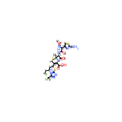 CCCCC(Sc1nnc(C(F)(F)F)[nH]1)C1=C(C(=O)O)N2C(=O)[C@@H](NC(=O)C(=NOC)c3csc(N)n3)[C@@H]2SC1